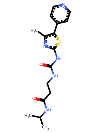 Cc1nc(NC(=O)NCCC(=O)NC(C)C)sc1-c1ccncc1